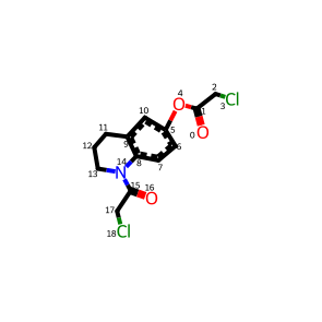 O=C(CCl)Oc1ccc2c(c1)CCCN2C(=O)CCl